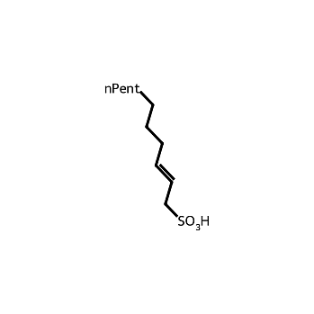 CCCCCCCCC=CCS(=O)(=O)O